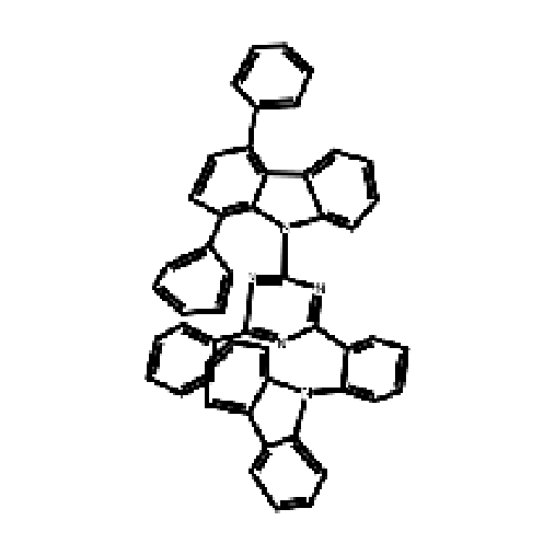 c1ccc(-c2nc(-c3ccccc3-n3c4ccccc4c4ccccc43)nc(-n3c4ccccc4c4c(-c5ccccc5)ccc(-c5ccccc5)c43)n2)cc1